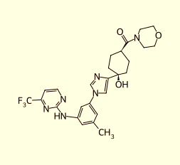 Cc1cc(Nc2nccc(C(F)(F)F)n2)cc(-n2cnc([C@]3(O)CC[C@@H](C(=O)N4CCOCC4)CC3)c2)c1